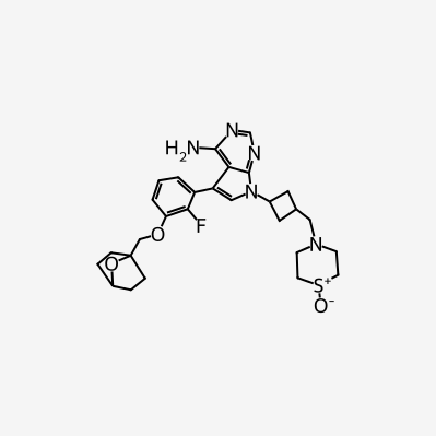 Nc1ncnc2c1c(-c1cccc(OCC34CCC(CC3)O4)c1F)cn2C1CC(CN2CC[S+]([O-])CC2)C1